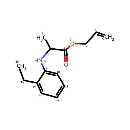 C=CCOC(=O)C(C)Nc1ccccc1CC